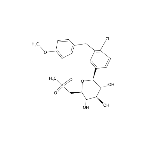 COc1ccc(Cc2cc([C@@H]3O[C@H](CS(C)(=O)=O)[C@@H](O)[C@H](O)[C@H]3O)ccc2Cl)cc1